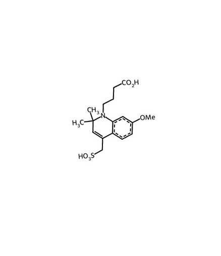 COc1ccc2c(c1)N(CCCC(=O)O)C(C)(C)C=C2CS(=O)(=O)O